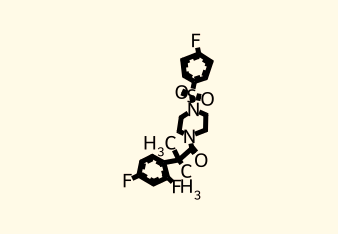 CC(C)(C(=O)N1CCN(S(=O)(=O)c2ccc(F)cc2)CC1)c1ccc(F)cc1F